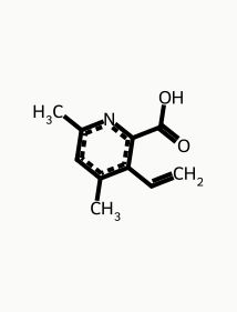 C=Cc1c(C)cc(C)nc1C(=O)O